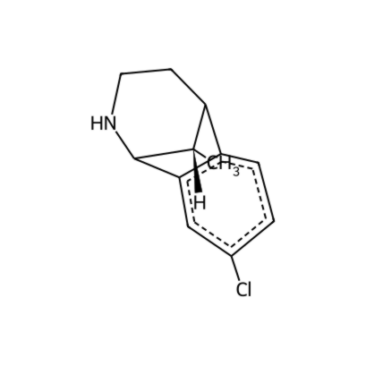 C[C@H]1C2CCNC1c1cc(Cl)ccc12